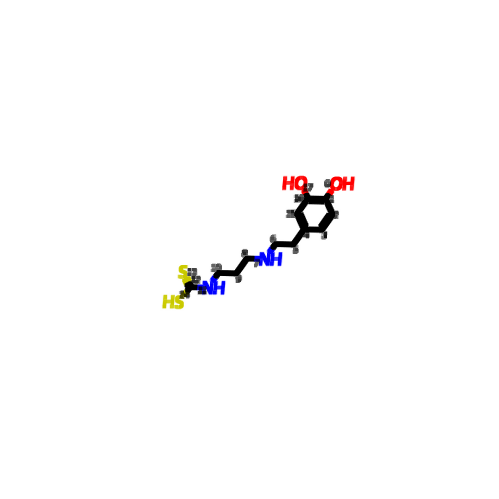 Oc1ccc(CCNCCCNC(=S)S)cc1O